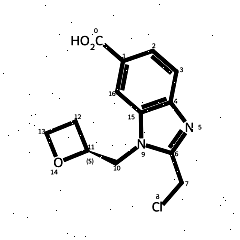 O=C(O)c1ccc2nc(CCl)n(C[C@@H]3CCO3)c2c1